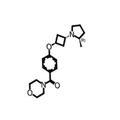 C[C@@H]1CCCN1[C@H]1C[C@H](Oc2ccc(C(=O)N3CCOCC3)cc2)C1